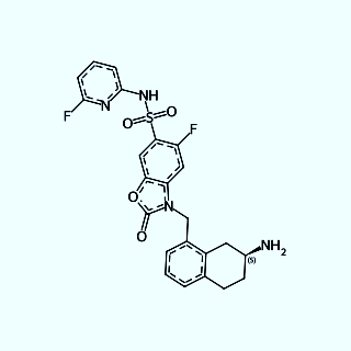 N[C@H]1CCc2cccc(Cn3c(=O)oc4cc(S(=O)(=O)Nc5cccc(F)n5)c(F)cc43)c2C1